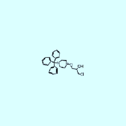 OC(CCl)CON1CCN(C(c2ccccc2)(c2ccccc2)c2ccccc2)CC1